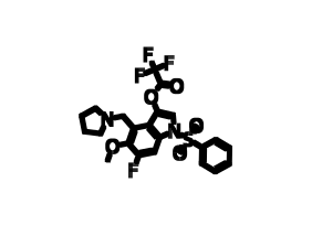 COc1c(F)cc2c(c(OC(=O)C(F)(F)F)cn2S(=O)(=O)c2ccccc2)c1CN1CCCC1